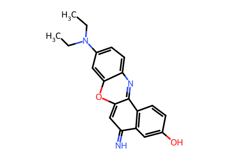 CCN(CC)c1ccc2nc3c4ccc(O)cc4c(=N)cc-3oc2c1